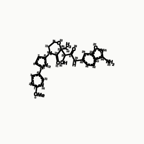 COc1ncc(-n2ccc(N3CCO[C@](C)(C(O)C(=O)Nc4ccc5c(N)noc5c4)C3=O)n2)cn1